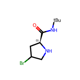 CC(C)(C)NC(=O)[C@@H]1CC(Br)CN1